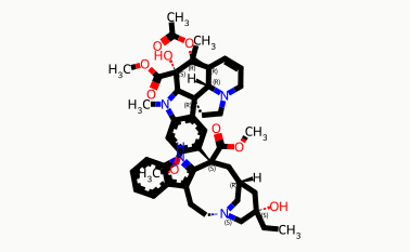 CC[C@]1(O)C[C@@H]2C[N@@](CCc3c([nH]c4ccccc34)[C@@](C(=O)OC)(c3cc4c(cc3OC)N(C)C3[C@]45CCN4CC=C[C@@](CC)([C@@H](OC(C)=O)[C@]3(O)C(=O)OC)[C@H]45)C2)C1